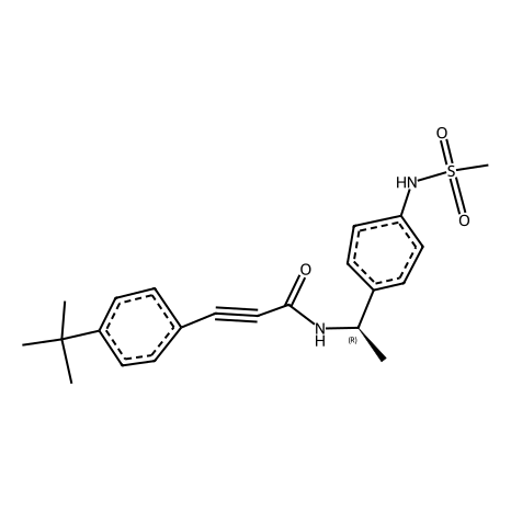 C[C@@H](NC(=O)C#Cc1ccc(C(C)(C)C)cc1)c1ccc(NS(C)(=O)=O)cc1